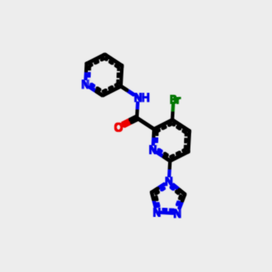 O=C(Nc1cccnc1)c1nc(-n2cnnc2)ccc1Br